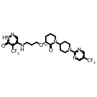 O=C1[C@@H](OCCCNc2cn[nH]c(=O)c2C(F)(F)F)CCCN1C1CCN(c2ncc(C(F)(F)F)cn2)CC1